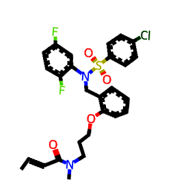 CC=CC(=O)N(C)CCCOc1ccccc1CN(c1cc(F)ccc1F)S(=O)(=O)c1ccc(Cl)cc1